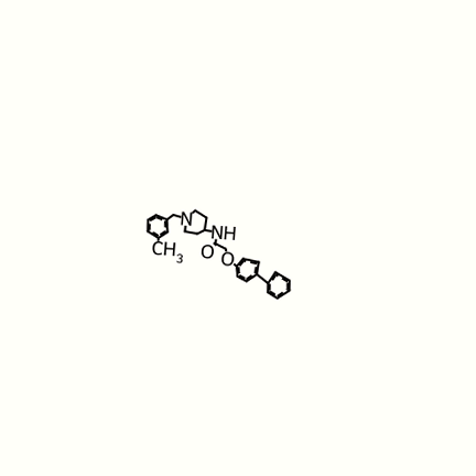 Cc1cccc(CN2CCC(NC(=O)COc3ccc(-c4ccccc4)cc3)CC2)c1